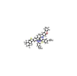 CC(C)(C)c1ccc(Nc2cc3c(cc2-c2ccc4c5cc6c(cc5n5c4c2Bc2sc4ccc(C(C)(C)C)cc4c2-5)oc2ccccc26)sc2cc4c(cc23)C(C)(C)CCC4(C)C)cc1